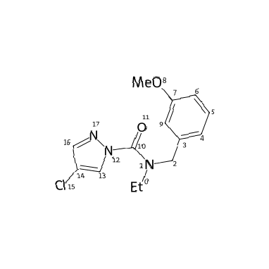 CCN(Cc1cccc(OC)c1)C(=O)n1cc(Cl)cn1